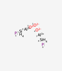 [Al+3].[Al+3].[O-2].[O-2].[O-2].[P].[P].[SiH4].[SiH4]